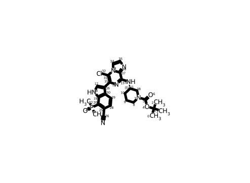 CC(C)(C)OC(=O)N1CCC[C@H](Nc2nc(-c3c[nH]c4c(P(C)(C)=O)c(C#N)ccc34)c(Cl)n3ccnc23)C1